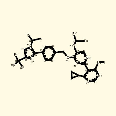 COc1ncnc(C2CC2)c1-c1ncc(OC(F)F)c(OCc2ccc(-c3nc(C(F)(F)F)cn3C(C)C)cc2)n1